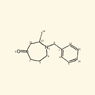 O=C1CCCN(Cc2ccccc2)C(I)C1